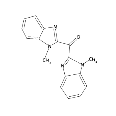 Cn1c(C(=O)c2nc3ccccc3n2C)nc2ccccc21